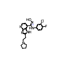 O/N=C(/Nc1ccc(F)c(Cl)c1)c1ccnc2nc(CCN3CCCC3)[nH]c12